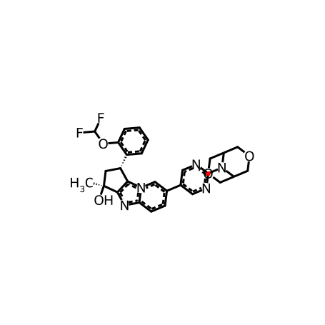 C[C@]1(O)C[C@H](c2ccccc2OC(F)F)c2c1nc1ccc(-c3cnc(N4C5COCC4COC5)nc3)cn21